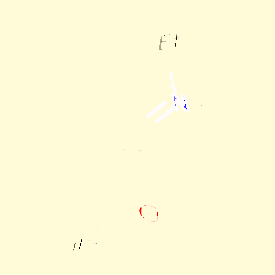 CC/N=[C]/OC(C)C